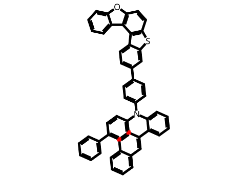 c1ccc(-c2ccc(N(c3ccc(-c4ccc5c(c4)sc4ccc6oc7ccccc7c6c45)cc3)c3ccccc3-c3ccc4ccccc4c3)cc2)cc1